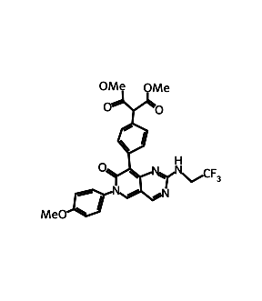 COC(=O)C(C(=O)OC)c1ccc(-c2c(=O)n(-c3ccc(OC)cc3)cc3cnc(NCC(F)(F)F)nc23)cc1